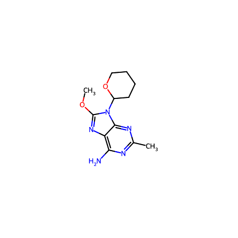 COc1nc2c(N)nc(C)nc2n1C1CCCCO1